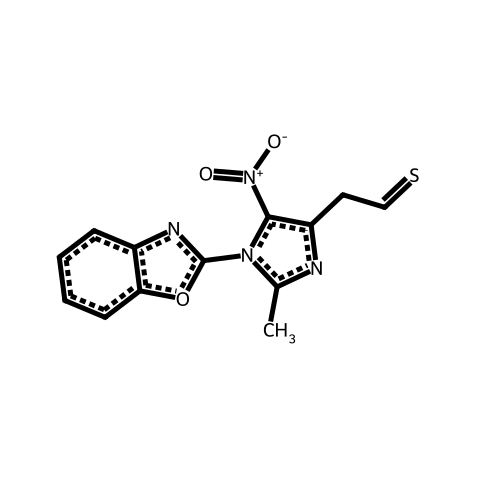 Cc1nc(CC=S)c([N+](=O)[O-])n1-c1nc2ccccc2o1